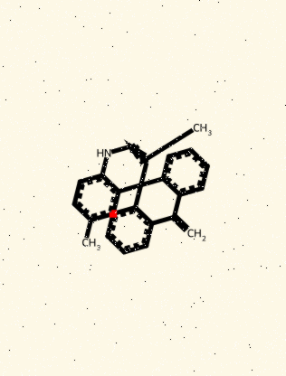 C=C1c2ccccc2C2(c3cc(C)ccc3Nc3ccc(C)cc32)c2ccccc21